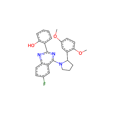 COc1ccc(OC)c(C2CCCN2c2nc(-c3ccccc3O)nc3ccc(F)cc23)c1